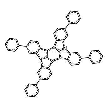 c1ccc(-c2ccc3c4c5c6ccc(-c7ccccc7)cc6n6c7cc(-c8ccccc8)ccc7c(c7c8ccc(-c9ccccc9)cc8n(c3c2)c47)c56)cc1